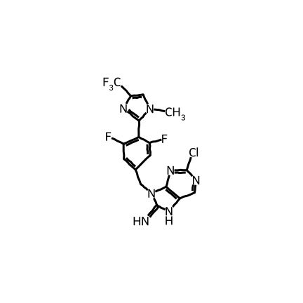 Cn1cc(C(F)(F)F)nc1-c1c(F)cc(Cn2c(=N)[nH]c3cnc(Cl)nc32)cc1F